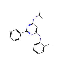 Cc1ccccc1Nc1cc(NC(C)C)nc(-c2ccccc2)n1